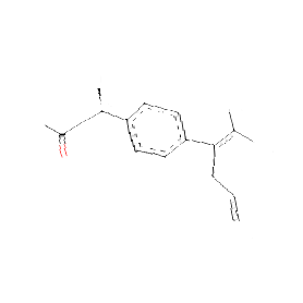 C=CCC(=C(C)C)c1ccc([C@H](C)C(C)=O)cc1